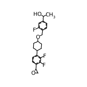 CC(O)c1ccc(COC2CCC(c3ccc(C4CO4)c(F)c3F)CC2)c(F)c1